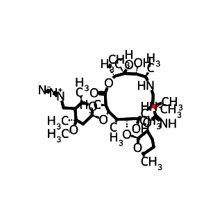 CC[C@H]1OC(=O)[C@H](C)[C@@H](O[C@H]2C[C@@](C)(OC)C(CN=[N+]=[N-])[C@H](C)O2)[C@H](C)[C@@H](O[C@@H]2O[C@H](C)CC[C@H]2OC(=N)NC)[C@](C)(O)C[C@@H](C)CN[C@H](C)[C@@H](O)[C@]1(C)O